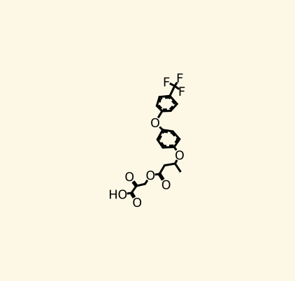 CC(CC(=O)OCC(=O)C(=O)O)Oc1ccc(Oc2ccc(C(F)(F)F)cc2)cc1